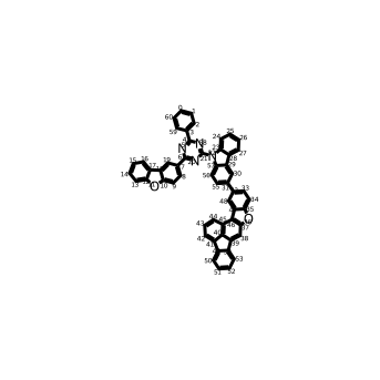 c1ccc(-c2nc(-c3ccc4oc5ccccc5c4c3)nc(-n3c4ccccc4c4cc(-c5ccc6oc7cc8c9c(cccc9c7c6c5)-c5ccccc5-8)ccc43)n2)cc1